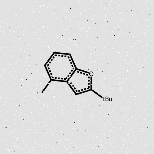 Cc1cccc2oc(C(C)(C)C)cc12